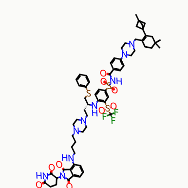 CC1(C)CCC(CN2CCN(c3ccc(C(=O)NS(=O)(=O)c4ccc(N[C@H](CCN5CCN(CCCCNc6cccc7c6C(=O)N(C6CCC(=O)NC6=O)C7=O)CC5)CSc5ccccc5)c(S(=O)(=O)C(F)(F)F)c4)cc3)CC2)=C(C23CC(C)(C2)C3)C1